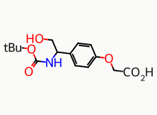 CC(C)(C)OC(=O)NC(CO)c1ccc(OCC(=O)O)cc1